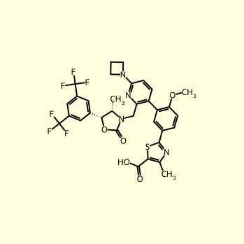 COc1ccc(-c2nc(C)c(C(=O)O)s2)cc1-c1ccc(N2CCC2)nc1CN1C(=O)O[C@H](c2cc(C(F)(F)F)cc(C(F)(F)F)c2)[C@@H]1C